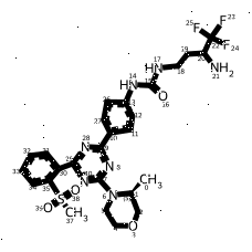 C[C@H]1COCCN1c1nc(-c2ccc(NC(=O)NCCC(N)C(F)(F)F)cc2)nc(-c2ccccc2S(C)(=O)=O)n1